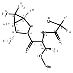 C[C@@H](OC(C)(C)C)[C@H](NC(=O)C(F)(F)Cl)C(=O)N1C[C@H]2[C@@H]([C@H]1C(=O)O)C2(C)C